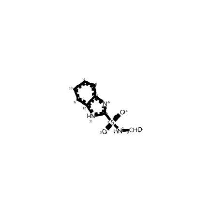 O=[C]NS(=O)(=O)c1nc2ccccc2[nH]1